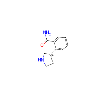 NC(=O)c1ccccc1[C@@H]1CCNC1